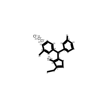 CCC1=CCC(C(c2cccc(C)c2)c2cccc(C)c2)=[C]1[Ti+3].[Cl-].[Cl-].[Cl-]